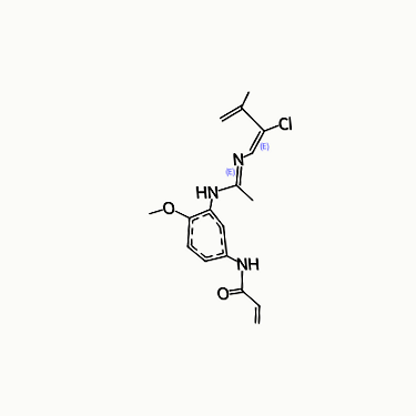 C=CC(=O)Nc1ccc(OC)c(N/C(C)=N/C=C(/Cl)C(=C)C)c1